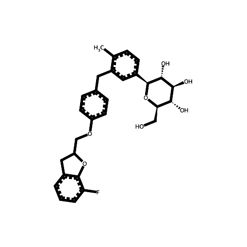 Cc1ccc([C@@H]2O[C@H](CO)[C@@H](O)[C@H](O)[C@H]2O)cc1Cc1ccc(OCC2Cc3cccc(F)c3O2)cc1